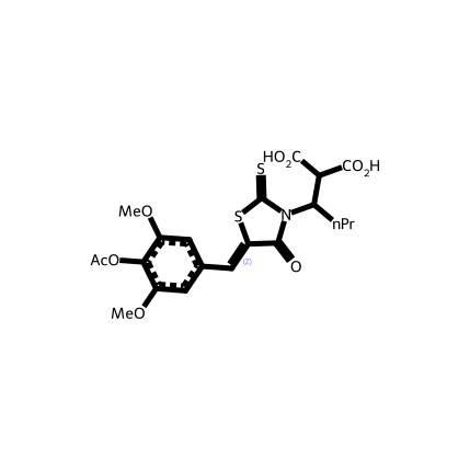 CCCC(C(C(=O)O)C(=O)O)N1C(=O)/C(=C/c2cc(OC)c(OC(C)=O)c(OC)c2)SC1=S